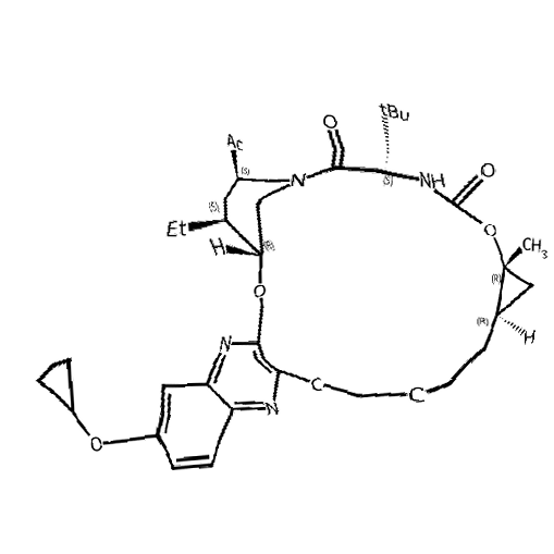 CC[C@@H]1[C@@H]2CN(C(=O)[C@H](C(C)(C)C)NC(=O)O[C@]3(C)C[C@H]3CCCCCc3nc4ccc(OC5CC5)cc4nc3O2)[C@@H]1C(C)=O